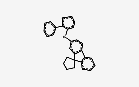 c1ccc(-c2ccccc2Nc2ccc3c(c2)C2(CCCC2)c2ccccc2-3)cc1